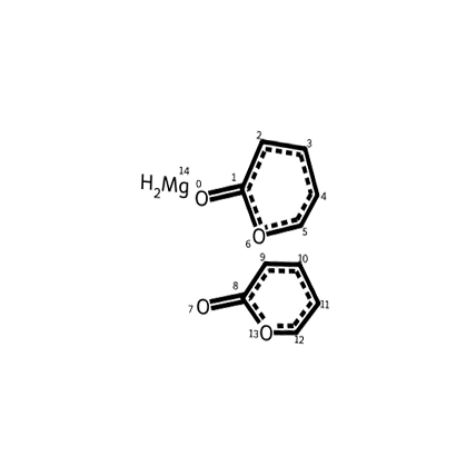 O=c1cccco1.O=c1cccco1.[MgH2]